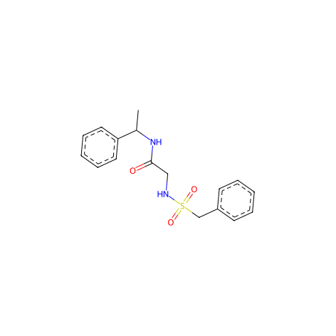 CC(NC(=O)CNS(=O)(=O)Cc1ccccc1)c1ccccc1